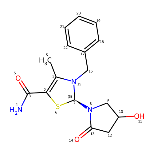 CC1=C(C(N)=O)S[C@H](N2CC(O)CC2=O)N1Cc1ccccc1